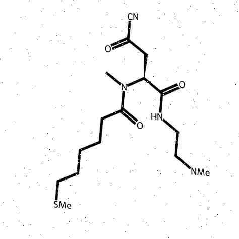 CNCCNC(=O)[C@H](CC(=O)C#N)N(C)C(=O)CCCCCSC